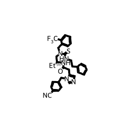 CC[C@@H](CN(Cc1ccccc1C(F)(F)F)C(=S)NCCc1ccccc1)NC(=O)Cc1cncn1Cc1ccc(C#N)cc1